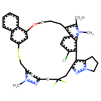 Cn1nc2cc1CSc1cc(c3ccccc3c1)OCCCc1c(C(=O)O)n(C)c3c(c(Cl)ccc13)-c1c(nn3c1CCC3)CC(F)(F)C2